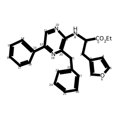 CCOC(=O)C(Cc1ccoc1)Nc1ncc(-c2ccccc2)nc1Cc1ccccc1